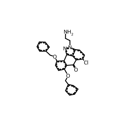 NCCn1nc2c3c(c(Cl)ccc31)C(=O)c1c(OCc3ccccc3)ccc(OCc3ccccc3)c1-2